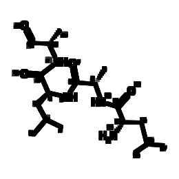 CC(C)C[C@H](NC(=O)[C@H](C)NC(=O)[C@@H](N)CC(C)C)C(=O)N[C@@H](C)[C]=O